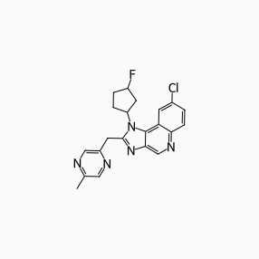 Cc1cnc(Cc2nc3cnc4ccc(Cl)cc4c3n2C2CCC(F)C2)cn1